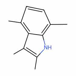 Cc1[nH]c2c(C)ccc(C)c2c1C